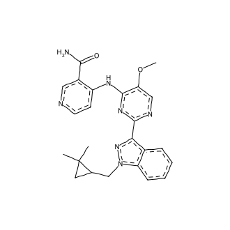 COc1cnc(-c2nn(CC3CC3(C)C)c3ccccc23)nc1Nc1ccncc1C(N)=O